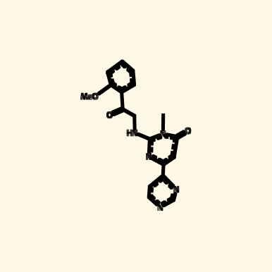 COc1ccccc1C(=O)CNc1nc(-c2ccncn2)cc(=O)n1C